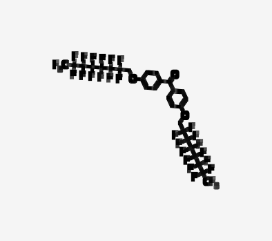 O=C(c1ccc(OCC(F)(F)C(F)(F)C(F)(F)C(F)(F)C(F)(F)C(F)(F)C(F)(F)F)cc1)c1ccc(OCC(F)(F)C(F)(F)C(F)(F)C(F)(F)C(F)(F)C(F)(F)C(F)(F)F)cc1